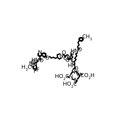 CC(=N)[C@H]1CC(F)(F)CN1C(=O)CNC(=O)c1ccnc2ccc(OCCCCC3CCN(C(=O)C(C)CN4C(=O)CC(SC(CCCCCNC(=O)CCCc5ccc(C)cc5)CNC(=O)CN5CCN(CC(=O)O)CCN(CC(=O)O)CCN(CC(=O)O)CC5)C4=O)CC3)cc12